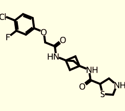 O=C(COc1ccc(Cl)c(F)c1)NC12CC(NC(=O)C3CNCS3)(C1)C2